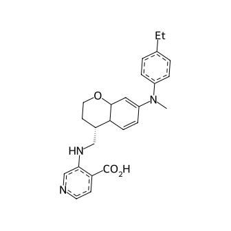 CCc1ccc(N(C)C2=CC3OCC[C@@H](CNc4cnccc4C(=O)O)C3C=C2)cc1